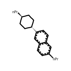 CCCc1ccc2cc([C@H]3CC[C@H](CCC)CC3)ccc2c1